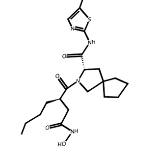 CCCC[C@H](CC(=O)NO)C(=O)N1CC2(CCCC2)C[C@H]1C(=O)Nc1ncc(C)s1